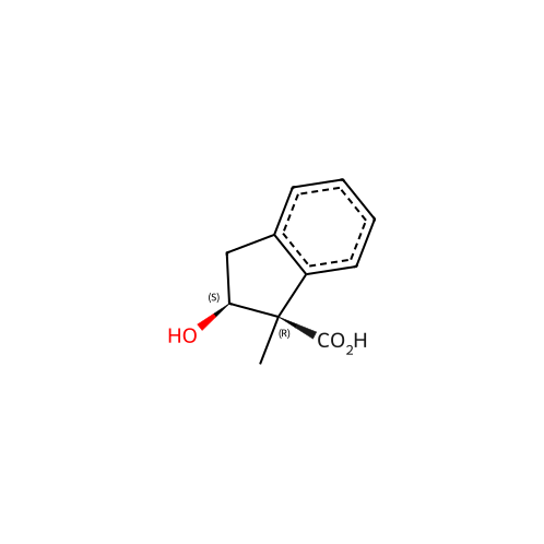 C[C@@]1(C(=O)O)c2ccccc2C[C@@H]1O